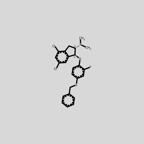 CN(C)[C@H]1Cc2c(Cl)cc(Cl)cc2[C@@H]1Oc1ccc(SCc2ccccc2)cc1F